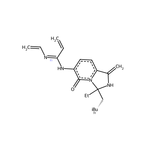 C=C/N=C(\C=C)Nc1ccc2n(c1=O)C(CC)(C[C@@H](C)CC)NC2=C